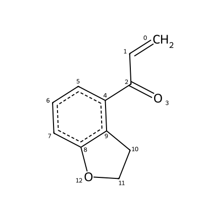 C=CC(=O)c1cccc2c1CCO2